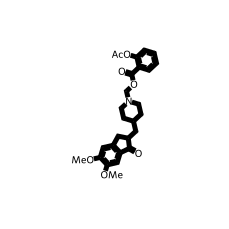 COc1cc2c(cc1OC)C(=O)C(CC1CCN(COC(=O)c3ccccc3OC(C)=O)CC1)C2